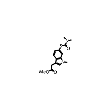 COC(=O)Cc1cn(C)c2cc(SC(=O)N(C)C)ccc12